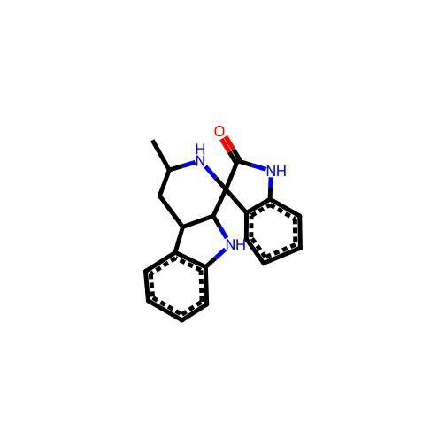 CC1CC2c3ccccc3NC2C2(N1)C(=O)Nc1ccccc12